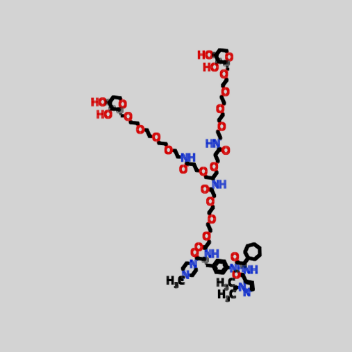 CC(C)n1nccc1C(=O)N[C@H](C(=O)Nc1ccc(C[C@@H](NC(=O)COCCOCCOCC(=O)NC(COCCC(=O)NCCOCCOCCOCCOC[C@H]2OCC[C@@H](O)[C@H]2O)COCCC(=O)NCCOCCOCCOCCOC[C@H]2OCC[C@@H](O)[C@H]2O)C(=O)N2CCN(C)CC2)cc1)C1CCCCCC1